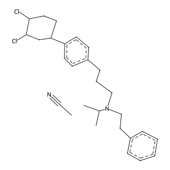 CC#N.CC(C)N(CCCc1ccc(C2CCC(Cl)C(Cl)C2)cc1)CCc1ccccc1